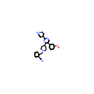 COc1cccc(-c2cnc(C3=CCNC=C3)nc2C2CCN(Cc3ccccc3C#N)CC2)c1